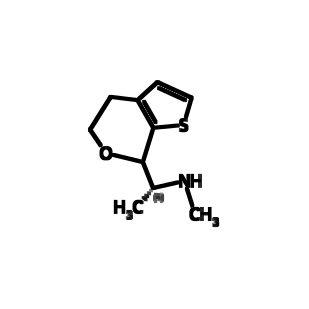 CN[C@H](C)C1OCCc2ccsc21